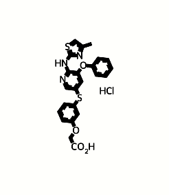 Cc1csc(Nc2ncc(Sc3cccc(OCC(=O)O)c3)cc2Oc2ccccc2)n1.Cl